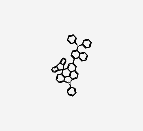 c1ccc(N(c2ccccc2)c2ccc(-c3cc4c5c(ccc6c5c5c(cccc5n6-c5ccccc5)C45c4ccccc4-c4ccccc45)c3)c3ccccc23)cc1